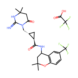 CC1(C)CC(=O)N(C[C@@H]2C[C@H]2C(=O)NC2CC(C)(C)Oc3ccc(C(F)(F)F)cc32)C(=N)N1.O=C(O)C(F)(F)F